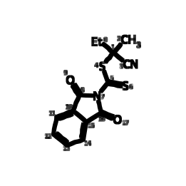 CCC(C)(C#N)SC(=S)N1C(=O)c2ccccc2C1=O